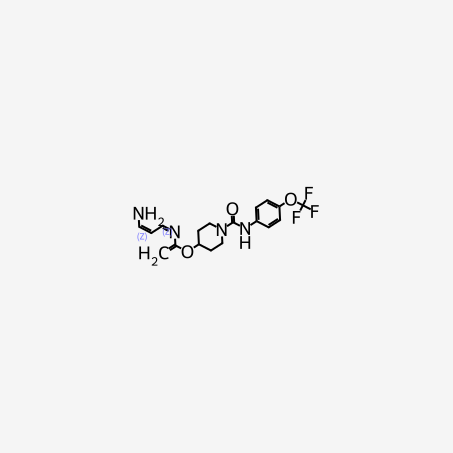 C=C(/N=C\C=C/N)OC1CCN(C(=O)Nc2ccc(OC(F)(F)F)cc2)CC1